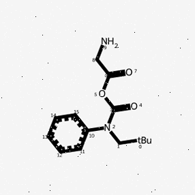 CC(C)(C)CN(C(=O)OC(=O)CN)c1ccccc1